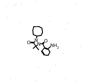 CC1(C)C(=O)N(C2CCCCCCC2)N1C(=O)C1=C(N)CCC=C1